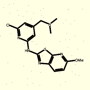 COc1ccc2nc(Nc3cc(CN(C)C)cc(Cl)n3)sc2n1